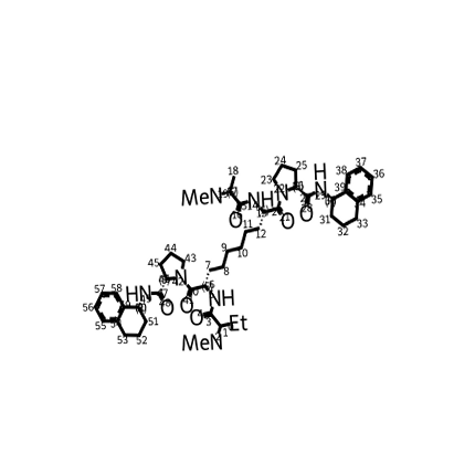 CCC(NC)C(=O)N[C@@H](CCCCCC[C@H](NC(=O)[C@H](C)NC)C(=O)N1CCC[C@H]1C(=O)N[C@@H]1CCCc2ccccc21)C(=O)N1CCC[C@H]1C(=O)N[C@@H]1CCCc2ccccc21